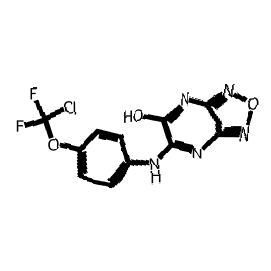 Oc1nc2nonc2nc1Nc1ccc(OC(F)(F)Cl)cc1